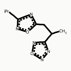 CC(C)c1noc(CC(C)c2nnon2)n1